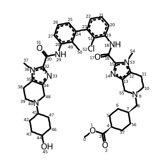 COC(=O)[C@H]1CC[C@@H](CN2CCc3c(nc(C(=O)Nc4cccc(-c5cccc(NC(=O)c6nc7c(n6C)CCN(C6CCC(O)CC6)C7)c5C)c4Cl)n3C)C2)CC1